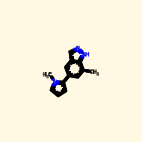 Cc1cc(-c2cccn2C)cc2cn[nH]c12